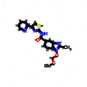 Cc1nc2cc(C(=O)Nc3nc(-c4ccccn4)cs3)ccc2n1OCOC(C)(C)C